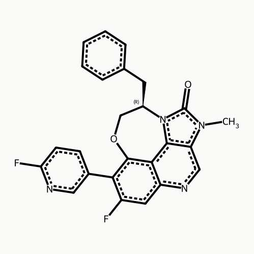 Cn1c(=O)n2c3c4c(c(-c5ccc(F)nc5)c(F)cc4ncc31)OC[C@H]2Cc1ccccc1